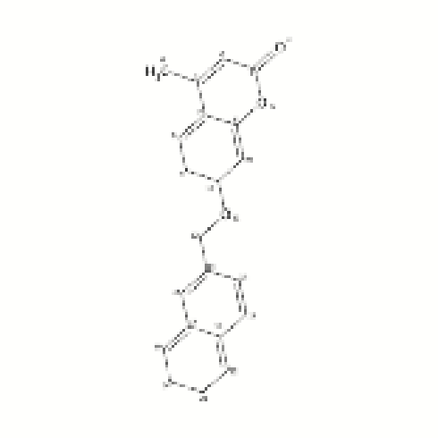 Cc1cc(=O)oc2c1=CCC(OCc1ccc3c(c1)=CCCC=3)C=2